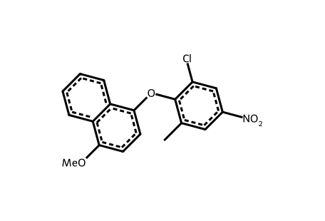 COc1ccc(Oc2c(C)cc([N+](=O)[O-])cc2Cl)c2ccccc12